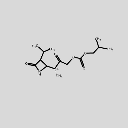 CC(C)COC(=O)OCC(=O)[C@H](C)C1NC(=O)C1C(C)C